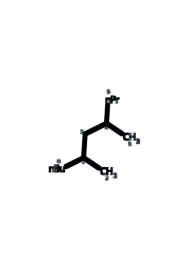 CCCCC(C)C[C](C)CCC